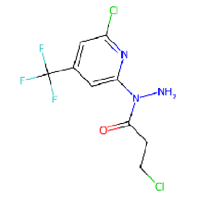 NN(C(=O)CCCl)c1cc(C(F)(F)F)cc(Cl)n1